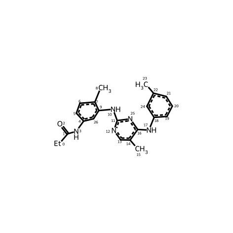 CCC(=O)Nc1ccc(C)c(Nc2ncc(C)c(Nc3cccc(C)c3)n2)c1